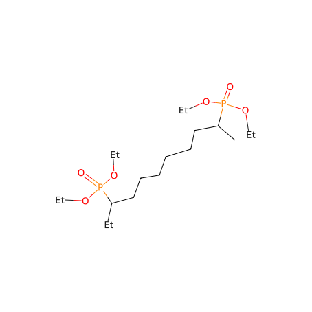 CCOP(=O)(OCC)C(C)CCCCCCC(CC)P(=O)(OCC)OCC